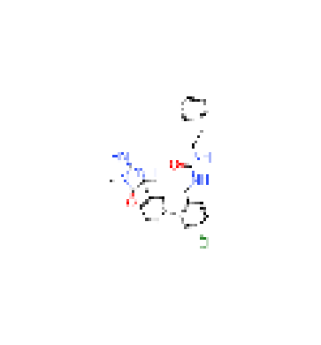 CN1C(=N)NC(C)(c2cccc(-c3cc(Cl)ccc3CNC(=O)NCCc3ccccc3)c2)C1=O